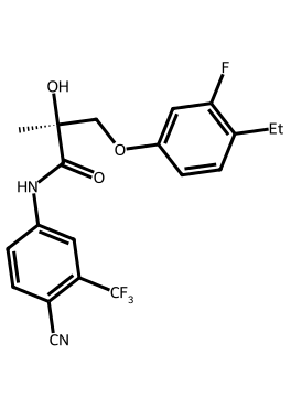 CCc1ccc(OC[C@](C)(O)C(=O)Nc2ccc(C#N)c(C(F)(F)F)c2)cc1F